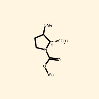 COC1CCN(C(=O)OC(C)(C)C)[C@H]1C(=O)O